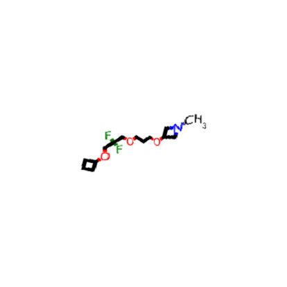 CN1CC(OCCCOCC(F)(F)COC2CCC2)C1